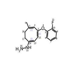 C/C1=C/C(Oc2ccccc2F)=C\C=C(\NN)CC1